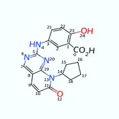 O=C(O)c1cc(Nc2ncc3ccc(=O)n(C4CCCC4)c3n2)ccc1O